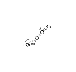 CC(C)(c1ccc(OC[C@@H](O)Cn2nnc(I)c2CO)cc1)c1ccc(OC[C@@H](O)CCl)c(Cl)c1